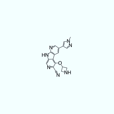 Cn1cc(-c2cnc3[nH]c4cnc(C#N)c(OC5CNC5)c4c3c2)cn1